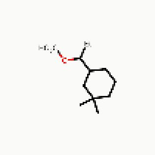 CCC(OC(=O)O)C1CCCC(C)(C)C1